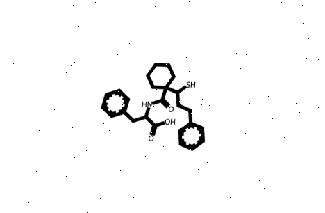 O=C(O)C(Cc1ccccc1)NC(=O)C1(C(S)CCc2ccccc2)CCCCC1